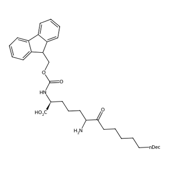 CCCCCCCCCCCCCCCC(=O)C(N)CCC[C@H](NC(=O)OCC1c2ccccc2-c2ccccc21)C(=O)O